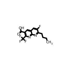 CCCCc1nc2nc(C(F)(F)F)c(C(=O)O)cc2cc1F